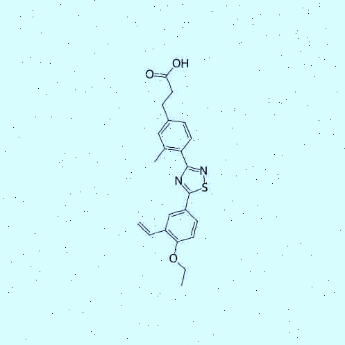 C=Cc1cc(-c2nc(-c3ccc(CCC(=O)O)cc3C)ns2)ccc1OCC